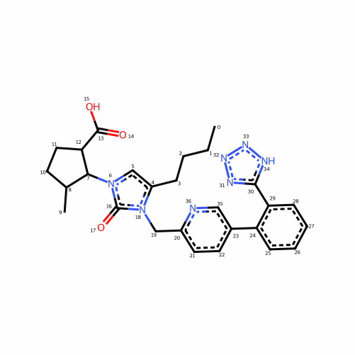 CCCCc1cn(C2C(C)CCC2C(=O)O)c(=O)n1Cc1ccc(-c2ccccc2-c2nnn[nH]2)cn1